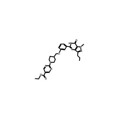 CCCc1nn(C)c2c(=O)[nH]c(-c3cccc(OCC4CCN(c5ncc(C(=O)OCC)cn5)CC4)c3)nc12